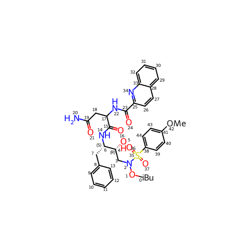 CCC(C)ON(C[C@@H](O)[C@H](Cc1ccccc1)NC(=O)C(CC(N)=O)NC(=O)c1ccc2ccccc2n1)S(=O)(=O)c1ccc(OC)cc1